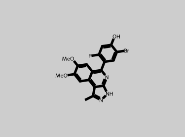 COc1cc2c(-c3cc(Br)c(O)cc3F)nc3[nH]nc(C)c3c2cc1OC